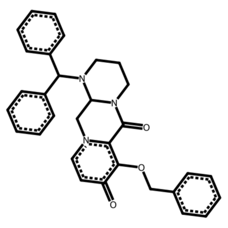 O=C1c2c(OCc3ccccc3)c(=O)ccn2CC2N1CCCN2C(c1ccccc1)c1ccccc1